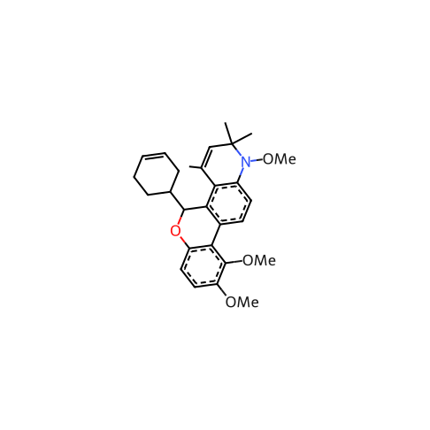 COc1ccc2c(c1OC)-c1ccc3c(c1C(C1CC=CCC1)O2)C(C)=CC(C)(C)N3OC